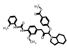 COC(=O)c1ccc(OC(C(=O)Cc2ccc(NC(=O)Nc3ccccc3C)c(OC)c2)N2CCC3CCCCC32)cc1